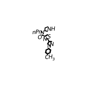 CCCN(C(=O)c1csc(-c2cnn(-c3ccc(C)cc3)c2)n1)[C@H]1CCNC1